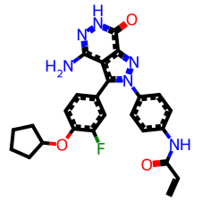 C=CC(=O)Nc1ccc(-n2nc3c(=O)[nH]nc(N)c3c2-c2ccc(OC3CCCC3)c(F)c2)cc1